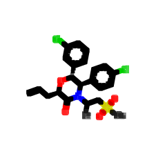 C=CC[C@H]1O[C@H](c2cccc(Cl)c2)[C@@H](c2ccc(Cl)cc2)N(C(CC)CS(=O)(=O)C(C)(C)C)C1=O